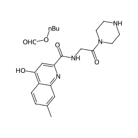 CCCCOC=O.Cc1ccc2c(O)cc(C(=O)NCC(=O)N3CCNCC3)nc2c1